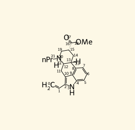 C=Cc1[nH]c2cccc3c2c1C[C@@H]1[C@@H]3C[C@@H](C(=O)OC)CN1CCC